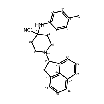 Cc1ccc(NC2(C#N)CCN(C3Cc4cccc5cccc3c45)CC2)cc1